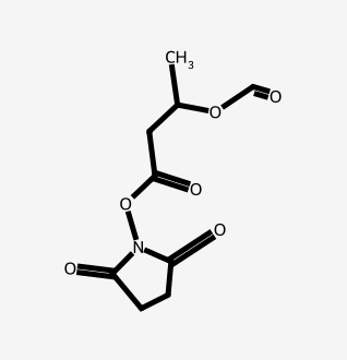 CC(CC(=O)ON1C(=O)CCC1=O)OC=O